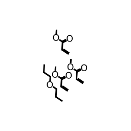 C=CC(=O)OC.C=CC(=O)OC.C=CC(=O)OC.CCCOCCC